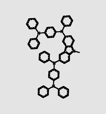 Cn1c2ccc(N(c3ccccc3)c3ccc(N(c4ccccc4)c4ccccc4)cc3)cc2c2cc(N(c3ccccc3)c3ccc(N(c4ccccc4)c4ccccc4)cc3)ccc21